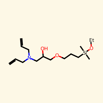 C=CCN(CC=C)CC(O)COCCC[Si](C)(C)OCC